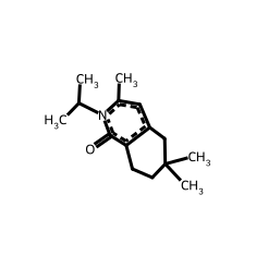 Cc1cc2c(c(=O)n1C(C)C)CCC(C)(C)C2